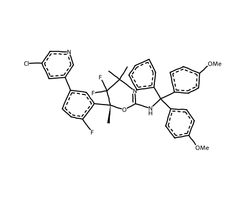 COc1ccc(C(NC2=NC(C)(C)C(F)(F)[C@@](C)(c3cc(-c4cncc(Cl)c4)ccc3F)O2)(c2ccccc2)c2ccc(OC)cc2)cc1